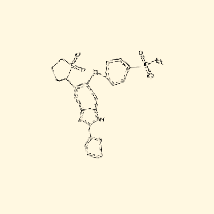 CCS(=O)(=O)c1ccc(Oc2cc3[nH]c(-c4ccccn4)nc3cc2C2CCCS2(=O)=O)cc1